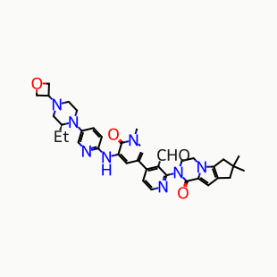 C=C(/C=C(/Nc1ccc(N2CCN(C3COC3)C[C@@H]2CC)cn1)C(=O)N(C)C)c1ccnc(N2CCn3c(cc4c3CC(C)(C)C4)C2=O)c1C=O